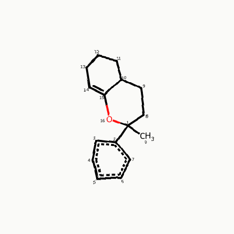 CC1(c2ccccc2)CCC2CCCC=C2O1